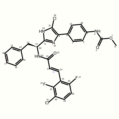 COC(=O)Nc1ccc(-c2nc([C@H](Cc3ccccc3)NC(=O)/C=C/c3c(F)ccc(Cl)c3F)[nH]c2Cl)cc1